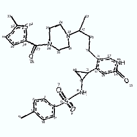 Cc1ccc(S(=O)(=O)NC2CC2c2cc(=O)[nH]cc2CCC(C)N2CCN(C(=O)c3ccc(C)s3)CC2)cc1